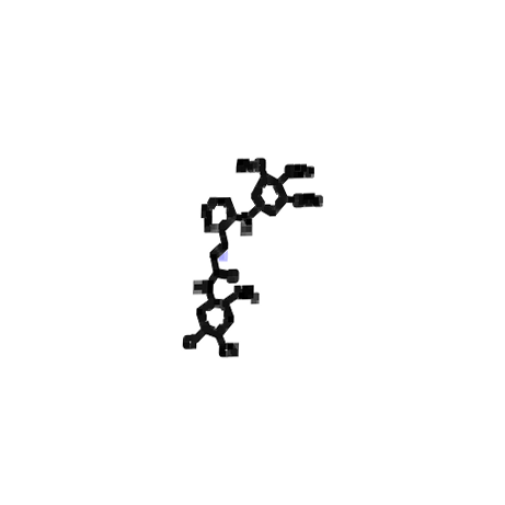 COc1cc(Nc2ccncc2/C=C/C(=O)Nc2cc(Cl)c(C#N)cc2N)cc(OC)c1OC